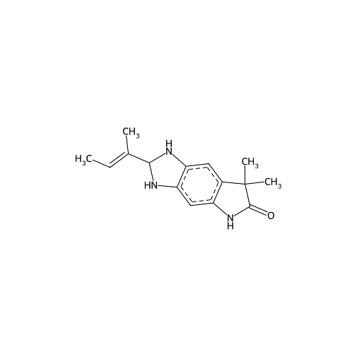 CC=C(C)C1Nc2cc3c(cc2N1)C(C)(C)C(=O)N3